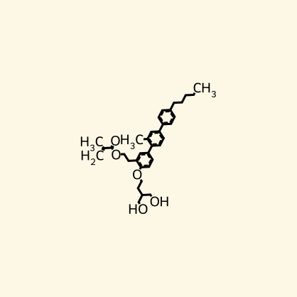 C=C(C)C(=O)OCCc1cc(-c2ccc(-c3ccc(CCCCC)cc3)cc2C)ccc1OCCC(CO)CO